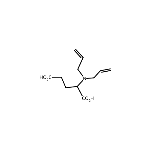 C=CCN(CC=C)C(CCC(=O)O)C(=O)O